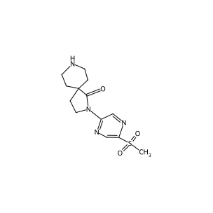 CS(=O)(=O)c1cnc(N2CCC3(CCNCC3)C2=O)cn1